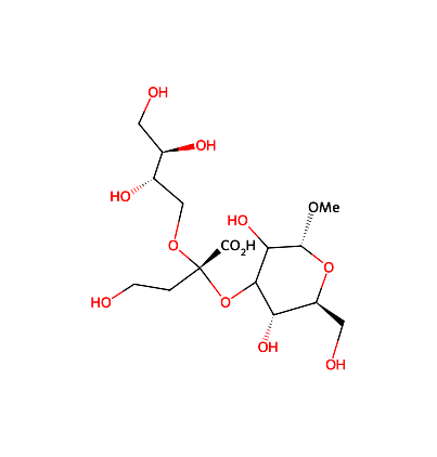 CO[C@@H]1O[C@@H](CO)[C@H](O)C(O[C@](CCO)(OC[C@H](O)[C@H](O)CO)C(=O)O)C1O